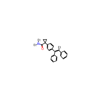 CCC(=C(c1ccccc1)c1ccc(C2(C(=O)N(CC)CC)CC2)cc1)c1ccccc1